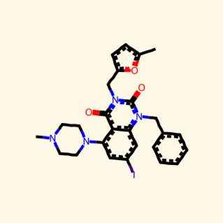 Cc1ccc(Cn2c(=O)c3c(N4CCN(C)CC4)cc(I)cc3n(Cc3ccccc3)c2=O)o1